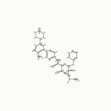 CC(N)N1[C@H]2N(Cc3ccccc3)C=C(C(=O)Nc3ccc(-c4cc(C5CCNCC5)cnc4N)cc3)C(=O)N21